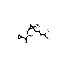 C=C(C1CC1)N(CC)CC1CC1(C)CCC=C(C)C